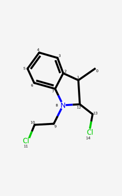 CC1c2ccccc2N(CCCl)C1CCl